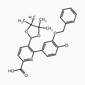 CC1(C)OB(c2ccc(C(=O)O)nc2-c2ccc(Cl)c(OCc3ccccc3)c2)OC1(C)C